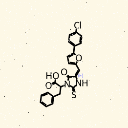 O=C(O)C(Cc1ccccc1)N1C(=O)/C(=C\c2ccc(-c3ccc(Cl)cc3)o2)NC1=S